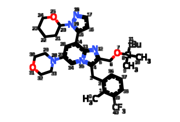 Cc1c(Cc2c(CO[Si](C)(C)C(C)(C)C)nc3c(-c4ccnn4C4CCCCO4)cc(N4CCOCC4)cn23)cccc1C(F)(F)F